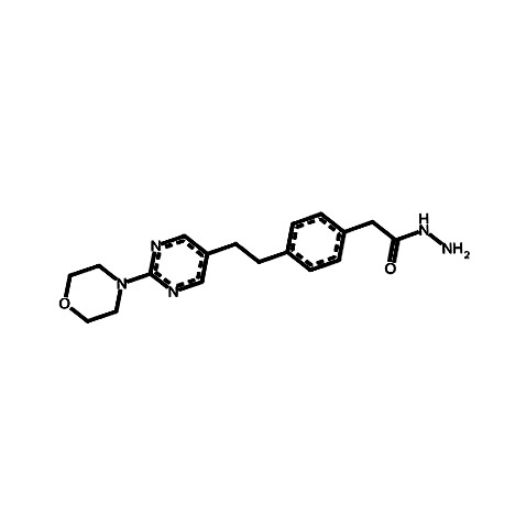 NNC(=O)Cc1ccc(CCc2cnc(N3CCOCC3)nc2)cc1